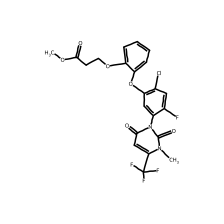 COC(=O)CCOc1ccccc1Oc1cc(-n2c(=O)cc(C(F)(F)F)n(C)c2=O)c(F)cc1Cl